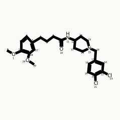 COc1ccc(CCCC(=O)NC2CCN(Cc3ccc(Cl)c(Cl)c3)CC2)cc1OC